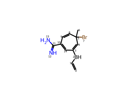 C=CBC1=CC(C)(Br)C=CC(C(=N)N)=C1